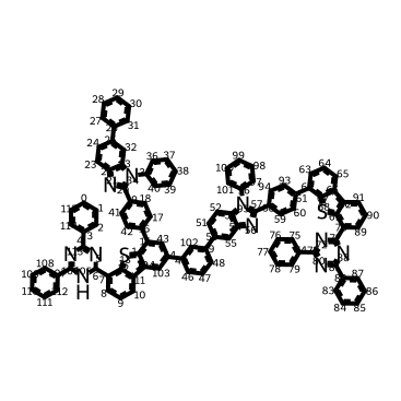 c1ccc(C2=NC(c3cccc4c3sc3c(-c5ccc(-c6nc7ccc(-c8ccccc8)cc7n6-c6ccccc6)cc5)cc(-c5cccc(-c6ccc7c(c6)nc(-c6ccc(-c8cccc9c8sc8c(-c%10nc(-c%11ccccc%11)nc(-c%11ccccc%11)n%10)cccc89)cc6)n7-c6ccccc6)c5)cc34)NC(c3ccccc3)=N2)cc1